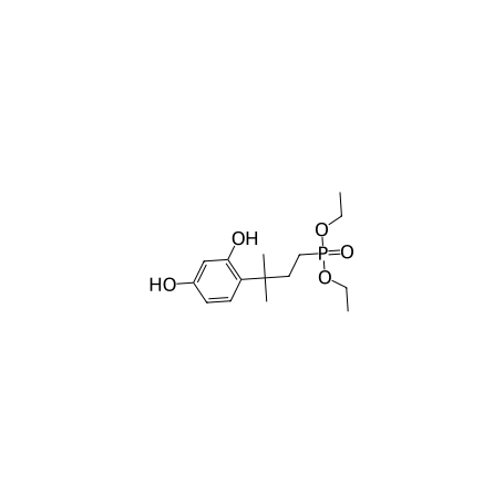 CCOP(=O)(CCC(C)(C)c1ccc(O)cc1O)OCC